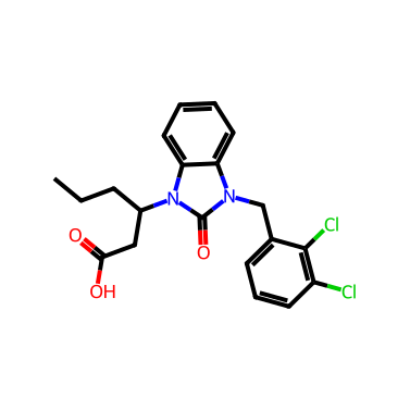 CCCC(CC(=O)O)n1c(=O)n(Cc2cccc(Cl)c2Cl)c2ccccc21